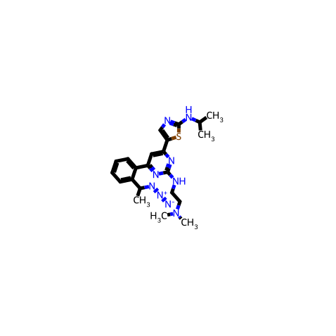 CC(C)Nc1ncc(-c2cc(-c3ccccc3C(C)N=[N+]=[N-])nc(NCCN(C)C)n2)s1